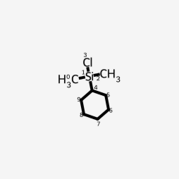 C[Si](C)(Cl)C1CCCCC1